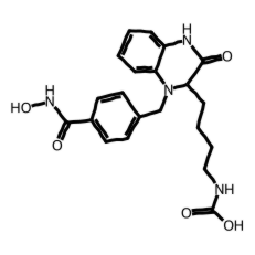 O=C(O)NCCCCC1C(=O)Nc2ccccc2N1Cc1ccc(C(=O)NO)cc1